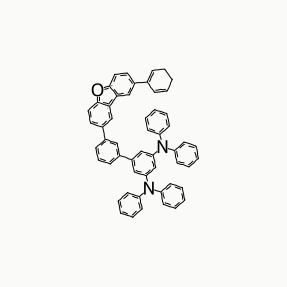 C1=CC(c2ccc3oc4ccc(-c5cccc(-c6cc(N(c7ccccc7)c7ccccc7)cc(N(c7ccccc7)c7ccccc7)c6)c5)cc4c3c2)=CCC1